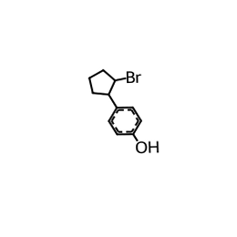 Oc1ccc(C2CCCC2Br)cc1